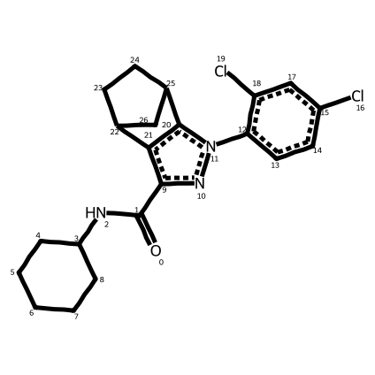 O=C(NC1CCCCC1)c1nn(-c2ccc(Cl)cc2Cl)c2c1C1CCC2C1